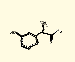 NC(=O)C(N)c1cccc(O)c1